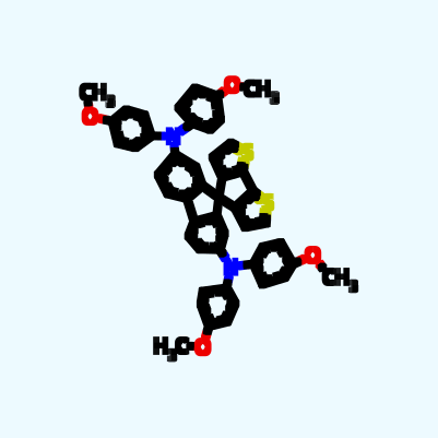 COc1ccc(N(c2ccc(OC)cc2)c2ccc3c(c2)C2(c4cc(N(c5ccc(OC)cc5)c5ccc(OC)cc5)ccc4-3)c3ccsc3-c3sccc32)cc1